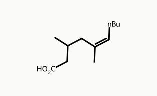 CCCCC=C(C)CC(C)CC(=O)O